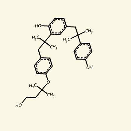 CC(C)(CCO)Oc1ccc(CC(C)(C)c2cc(CC(C)(C)c3ccc(O)cc3)ccc2O)cc1